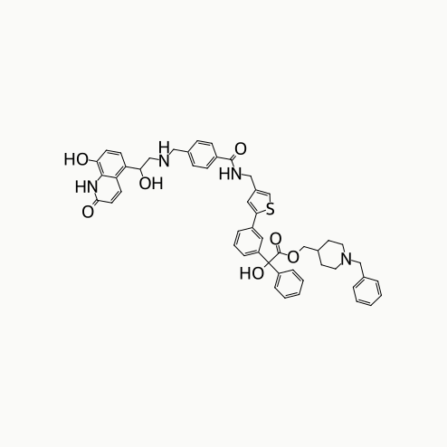 O=C(NCc1csc(-c2cccc(C(O)(C(=O)OCC3CCN(Cc4ccccc4)CC3)c3ccccc3)c2)c1)c1ccc(CNCC(O)c2ccc(O)c3[nH]c(=O)ccc23)cc1